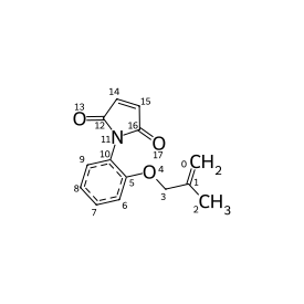 C=C(C)COc1ccccc1N1C(=O)C=CC1=O